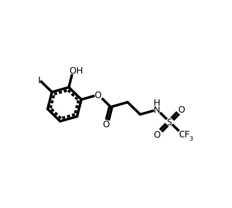 O=C(CCNS(=O)(=O)C(F)(F)F)Oc1cccc(I)c1O